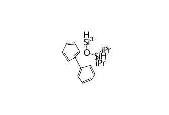 CC(C)[SiH](O[SiH3])C(C)C.c1ccc(-c2ccccc2)cc1